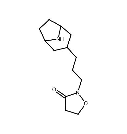 O=C1CCON1CCCC1CC2CCC(C1)N2